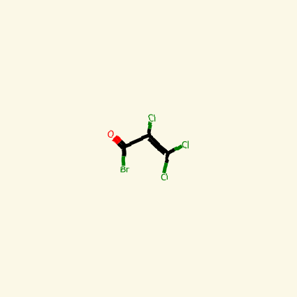 O=C(Br)C(Cl)=C(Cl)Cl